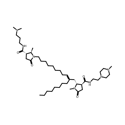 CCCCCCCC/C(=C\CCCCCCCCN1C(=O)C[C@H](C(=O)NCCCN(C)C)[C@H]1C)C[C@@H]1[C@@H](C(=O)NCCN2CCN(C)CC2)CC(=O)N1C